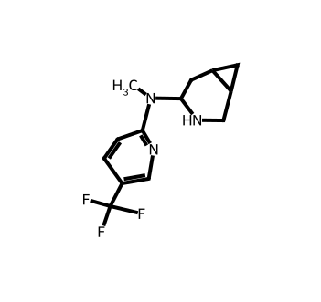 CN(c1ccc(C(F)(F)F)cn1)C1CC2CC2CN1